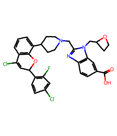 O=C(O)c1ccc2nc(CN3CCC(c4cccc5c4OC(c4ccc(Cl)cc4F)C=C5Cl)CC3)n(CC3CCO3)c2c1